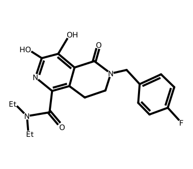 CCN(CC)C(=O)c1nc(O)c(O)c2c1CCN(Cc1ccc(F)cc1)C2=O